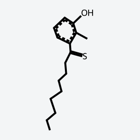 CCCCCCCCC(=S)c1cccc(O)c1C